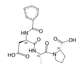 C[C@H](NC(=O)[C@@H](CC(=O)O)NC(=O)c1ccccc1)C(=O)N1CCC[C@H]1C(=O)O